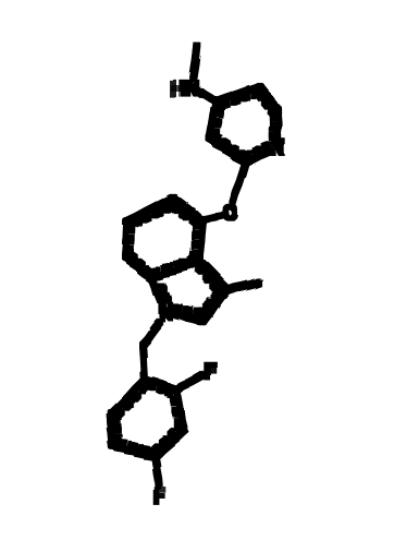 CNc1ccnc(Oc2cccc3c2c(C)cn3Cc2ccc(F)cc2F)c1